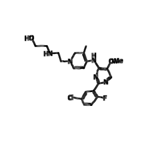 COc1cnc(-c2cc(Cl)ccc2F)nc1NC1=C(C)CN(CCNCCO)C=C1